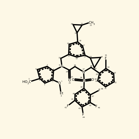 CCOc1cc(C(=O)O)ccc1N(Cc1cc(C2CC2)cc(C2CC2C)c1)C(=O)CN(Cc1ccccc1F)S(=O)(=O)c1cc(F)c(F)c(F)c1F